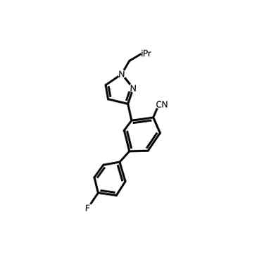 CC(C)Cn1ccc(-c2cc(-c3ccc(F)cc3)ccc2C#N)n1